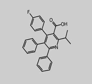 CC(C)c1nc(-c2ccccc2)c(-c2ccccc2)c(-c2ccc(F)cc2)c1C(=O)O